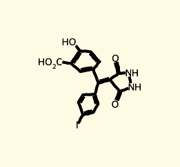 O=C1NNC(=O)C1=C(c1ccc(I)cc1)c1ccc(O)c(C(=O)O)c1